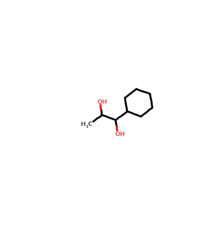 CC(O)C(O)C1CCCCC1